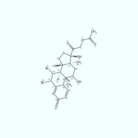 CC(=O)OCC(=O)[C@@]1(O)CC[C@H]2[C@@H]3C(Br)C(Br)C4=CC(=O)C=C[C@]4(C)[C@H]3C(O)C[C@@]21C